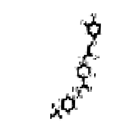 O=C(COc1ccc(Cl)c(F)c1)N[C@H]1CC[C@H](C(=O)NC[C@H]2CC[C@@H](C(F)(F)F)CC2)NC1